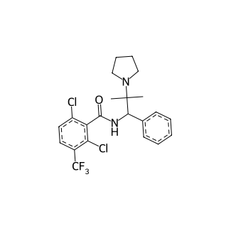 CC(C)(C(NC(=O)c1c(Cl)ccc(C(F)(F)F)c1Cl)c1ccccc1)N1CCCC1